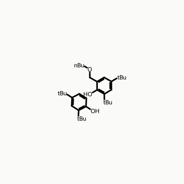 CC(C)(C)c1ccc(O)c(C(C)(C)C)c1.CCCCOCc1cc(C(C)(C)C)cc(C(C)(C)C)c1O